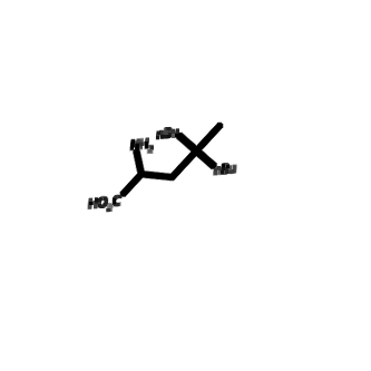 CCCCC(C)(CCCC)CC(N)C(=O)O